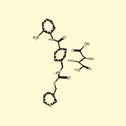 Nc1ccccc1NC(=O)c1ccc(CNC(=O)OCc2cccnc2)cc1.O=C(O)C(O)C(O)C(=O)O